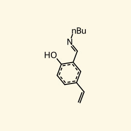 C=Cc1ccc(O)c(/C=N/CCCC)c1